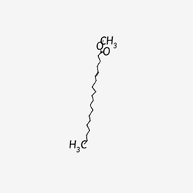 CCCCCCCCCCCCCC/C=C/CCCC(=O)OC